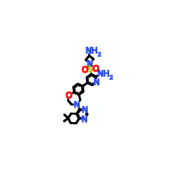 CC1(C)CCc2ncnc(N3CCOc4ccc(-c5cnc(N)c(S(=O)(=O)N6CC(N)C6)c5)cc4C3)c2C1